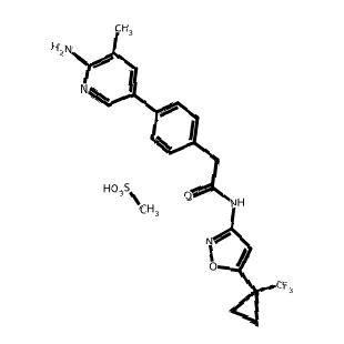 CS(=O)(=O)O.Cc1cc(-c2ccc(CC(=O)Nc3cc(C4(C(F)(F)F)CC4)on3)cc2)cnc1N